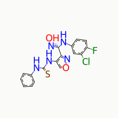 O/N=C(\Nc1ccc(F)c(Cl)c1)c1nocc1NC(=S)Nc1ccccc1